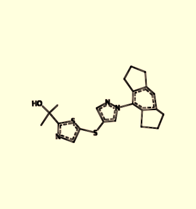 CC(C)(O)c1ncc(Sc2cnn(-c3c4c(cc5c3CCC5)CCC4)c2)s1